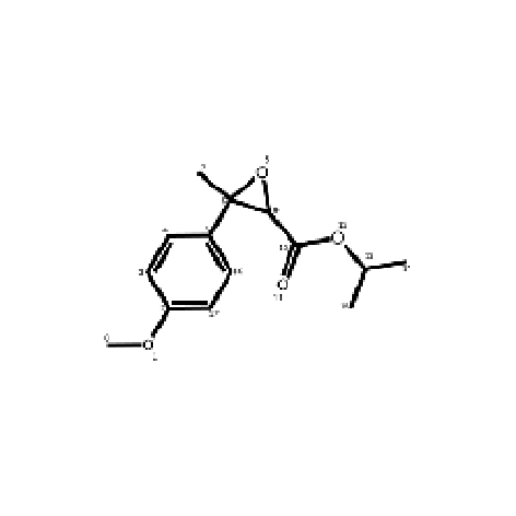 COc1ccc(C2(C)OC2C(=O)OC(C)C)cc1